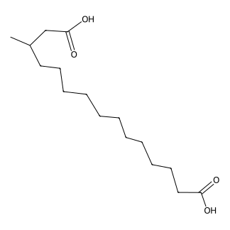 CC(CCCCCCCCCCCC(=O)O)CC(=O)O